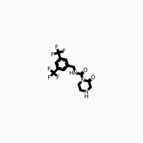 O=C1CNCCN1C(=O)NCc1cc(C(F)(F)F)cc(C(F)(F)F)c1